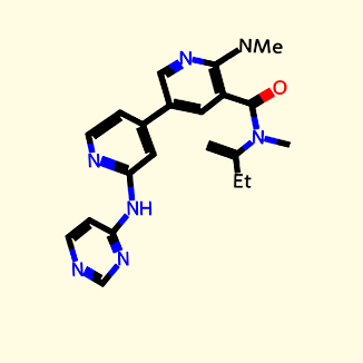 C=C(CC)N(C)C(=O)c1cc(-c2ccnc(Nc3ccncn3)c2)cnc1NC